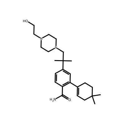 CC1(C)CC=C(c2cc(C(C)(C)CN3CCN(CCO)CC3)ccc2C(N)=O)CC1